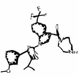 COc1cccc(-c2nc(-n3cc(C(=O)N4CCNCC4)c4cc(C(F)(F)F)ccc43)sc2C(C)C)c1